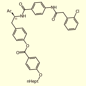 CCCCCCCOc1ccc(C(=O)Oc2ccc(C[C@H](NC(=O)c3ccc(NC(=O)Cc4ccccc4Cl)cc3)C(C)=O)cc2)cc1